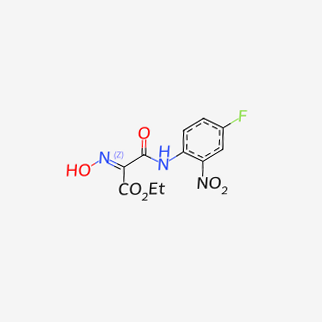 CCOC(=O)/C(=N\O)C(=O)Nc1ccc(F)cc1[N+](=O)[O-]